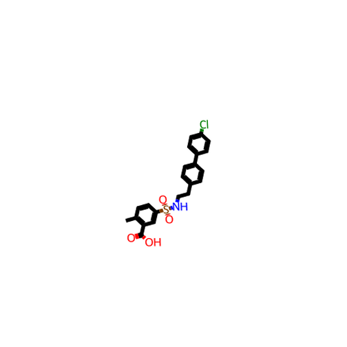 Cc1ccc(S(=O)(=O)NCCc2ccc(-c3ccc(Cl)cc3)cc2)cc1C(=O)O